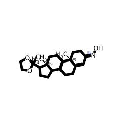 CC1(C2CCC3C4CCC5=C/C(=N/O)CC[C@]5(C)C4CC[C@@]32C)OCCO1